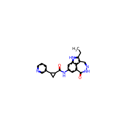 CCc1[nH]c2cc(NC(=O)C3CC3c3cccnc3)cc3c2c1C=NNC3=O